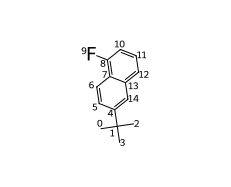 CC(C)(C)c1ccc2c(F)cccc2c1